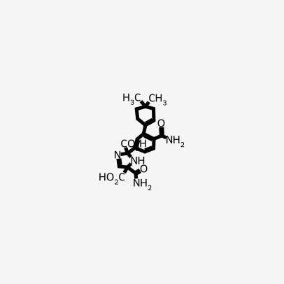 CC1(C)CC=C(c2cc(C3(C(=O)O)N=CC(C(N)=O)(C(=O)O)N3)ccc2C(N)=O)CC1